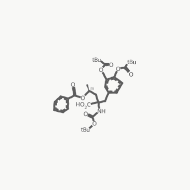 C[C@@H](CC(Cc1ccc(OC(=O)C(C)(C)C)c(OC(=O)C(C)(C)C)c1)(NC(=O)OC(C)(C)C)C(=O)O)OC(=O)c1ccccc1